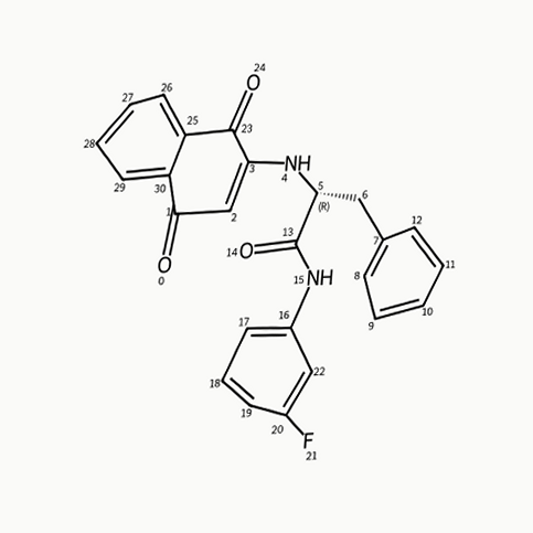 O=C1C=C(N[C@H](Cc2ccccc2)C(=O)Nc2cccc(F)c2)C(=O)c2ccccc21